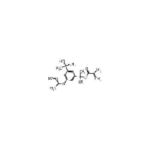 C=C(C(=O)OC(c1cc(OC(C)OCC)cc(C(C)(O)C(F)(F)F)c1)(C(F)(F)F)C(F)(F)F)C(F)(F)F